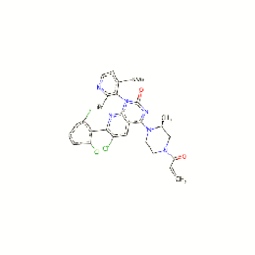 C=CC(=O)N1CCN(c2nc(=O)n(-c3c(SC)ccnc3C(C)C)c3nc(-c4c(F)cccc4Cl)c(Cl)cc23)[C@@H](C)C1